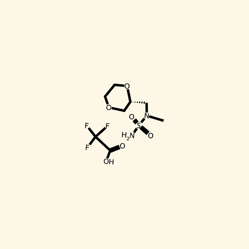 CN(C[C@@H]1COCCO1)S(N)(=O)=O.O=C(O)C(F)(F)F